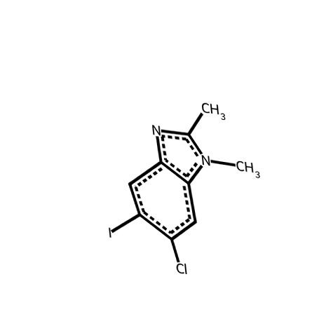 Cc1nc2cc(I)c(Cl)cc2n1C